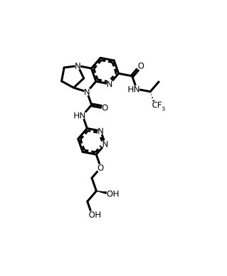 C[C@@H](NC(=O)c1ccc2c(n1)N(C(=O)Nc1ccc(OC[C@@H](O)CO)nn1)C1CCN2C1)C(F)(F)F